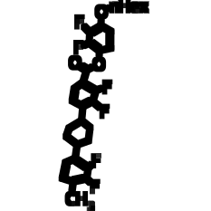 CCCCCCOc1ccc(OC(=O)c2ccc(C3CCC(c4ccc(C)c(F)c4F)CC3)c(F)c2F)c(F)c1F